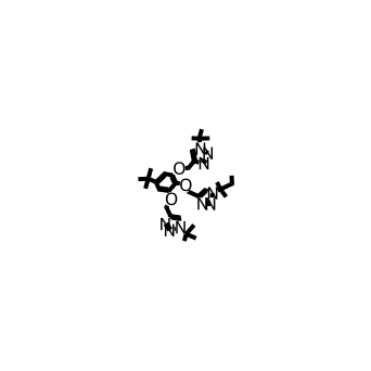 CCC(C)(C)n1cc(COc2c(OCc3cn(C(C)(C)C)nn3)cc(C(C)(C)C)cc2OCc2cn(C(C)(C)C)nn2)nn1